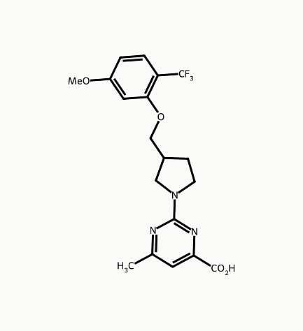 COc1ccc(C(F)(F)F)c(OCC2CCN(c3nc(C)cc(C(=O)O)n3)C2)c1